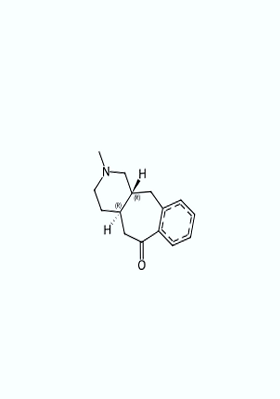 CN1CC[C@@H]2CC(=O)c3ccccc3C[C@H]2C1